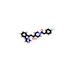 O=C(Cc1ccc(F)cc1)N1CCC([C@H](O)CC2c3ccccc3-c3cncn32)CC1